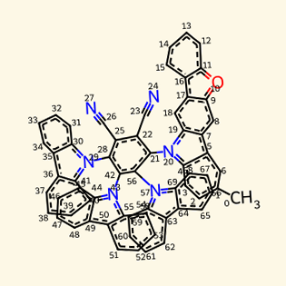 Cc1ccc2c(c1)c1cc3oc4ccccc4c3cc1n2-c1c(C#N)c(C#N)c(-n2c3ccccc3c3ccccc32)c(-n2c3ccccc3c3ccccc32)c1-n1c2ccccc2c2ccccc21